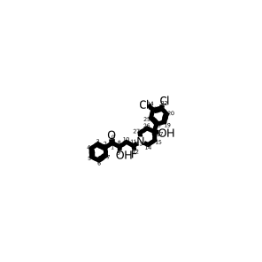 O=C(c1ccccc1)C(O)CC(F)N1CCC(O)(c2ccc(Cl)c(Cl)c2)CC1